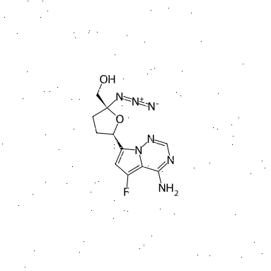 [N-]=[N+]=N[C@@]1(CO)CC[C@H](c2cc(F)c3c(N)ncnn23)O1